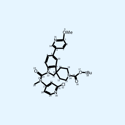 COc1ccc(-c2ccc3c(c2)C2(CCN(C(=O)OC(C)(C)C)CC2)CN3C(=O)N(C)c2ccnc(Cl)c2)cn1